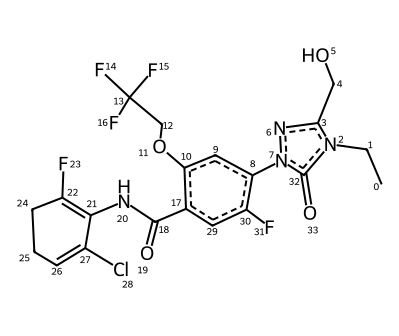 CCn1c(CO)nn(-c2cc(OCC(F)(F)F)c(C(=O)NC3=C(F)CCC=C3Cl)cc2F)c1=O